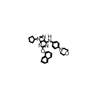 c1ccc2c(Oc3nc(Nc4ccc(N5CCOCC5)cc4)c4ncn(C5CCCC5)c4n3)cccc2c1